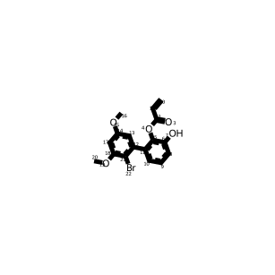 C=CC(=O)Oc1c(O)cccc1-c1cc(OC)cc(OC)c1Br